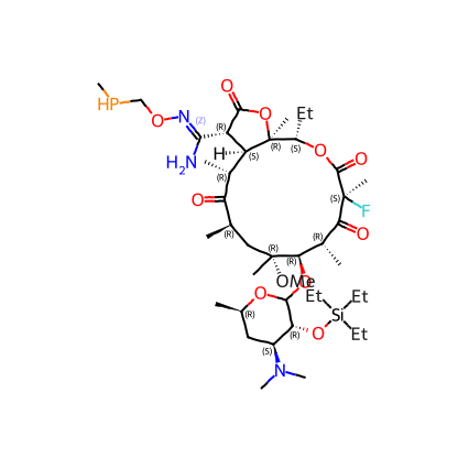 CC[C@@H]1OC(=O)[C@@](C)(F)C(=O)[C@H](C)[C@@H](OC2O[C@H](C)C[C@H](N(C)C)[C@H]2O[Si](CC)(CC)CC)[C@](C)(OC)C[C@@H](C)C(=O)[C@H](C)[C@H]2[C@H](/C(N)=N/OCPC)C(=O)O[C@]21C